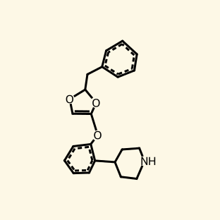 C1=C(Oc2ccccc2C2CCNCC2)OC(Cc2ccccc2)O1